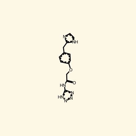 O=C(COc1ccc(Cc2ncc[nH]2)cc1)Nc1nnn[nH]1